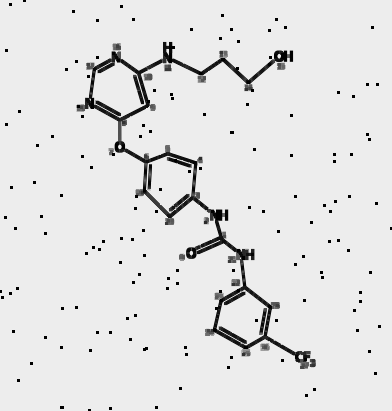 O=C(Nc1ccc(Oc2cc(NCCCO)ncn2)cc1)Nc1cccc(C(F)(F)F)c1